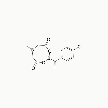 C=C(B1OC(=O)CN(C)CC(=O)O1)c1ccc(Cl)cc1